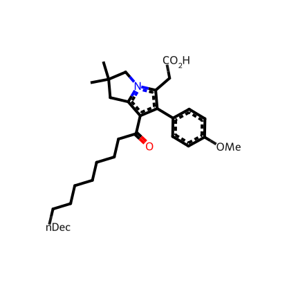 CCCCCCCCCCCCCCCCCC(=O)c1c(-c2ccc(OC)cc2)c(CC(=O)O)n2c1CC(C)(C)C2